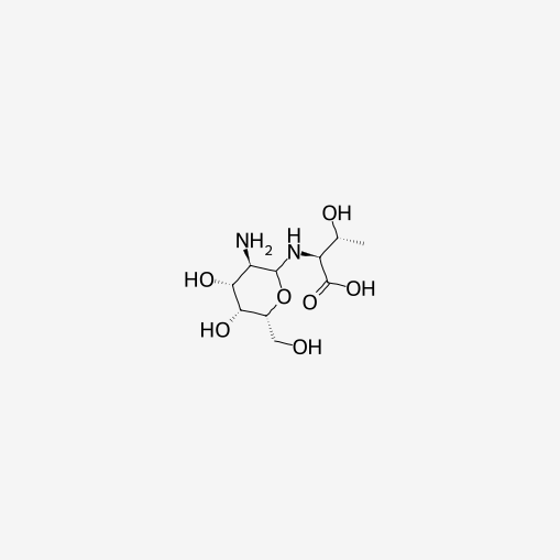 C[C@@H](O)[C@H](NC1O[C@H](CO)[C@H](O)[C@H](O)[C@H]1N)C(=O)O